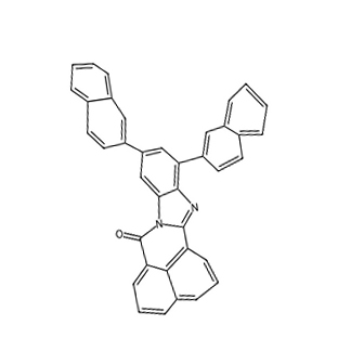 O=c1c2cccc3cccc(c32)c2nc3c(-c4ccc5ccccc5c4)cc(-c4ccc5ccccc5c4)cc3n12